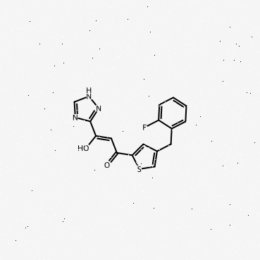 O=C(C=C(O)c1nc[nH]n1)c1cc(Cc2ccccc2F)cs1